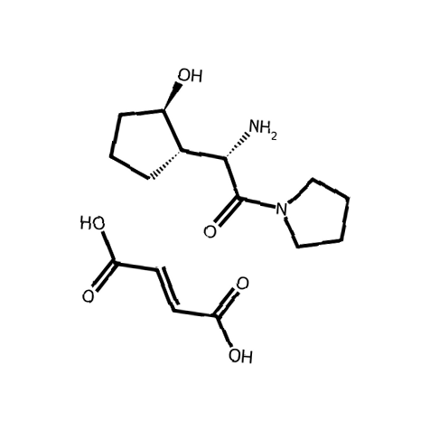 N[C@H](C(=O)N1CCCC1)[C@@H]1CCC[C@H]1O.O=C(O)/C=C/C(=O)O